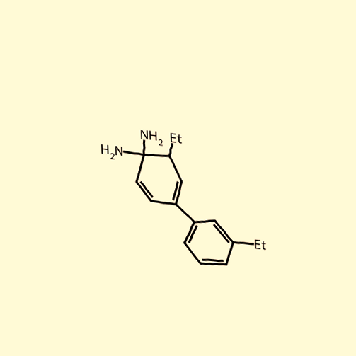 CCc1cccc(C2=CC(CC)C(N)(N)C=C2)c1